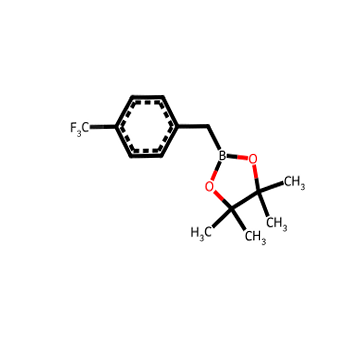 CC1(C)OB(Cc2ccc(C(F)(F)F)cc2)OC1(C)C